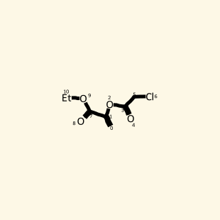 C=C(OC(=O)CCl)C(=O)OCC